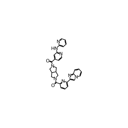 O=C(c1ccnc(Nc2ccccn2)c1)N1CC2CN(C(=O)c3cccc(-c4cn5ccccc5n4)n3)CC2C1